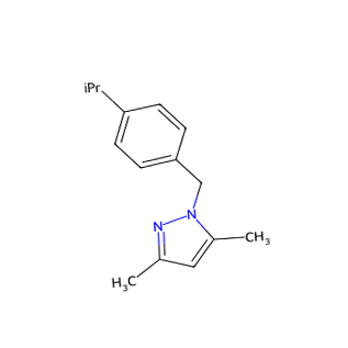 Cc1cc(C)n(Cc2ccc(C(C)C)cc2)n1